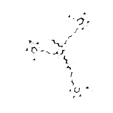 CC(=O)N[C@H]1[C@H](OCCOCCOCC(=O)NCCCC[C@H](NC(=O)COCCOCCO[C@@H]2O[C@H](COC(C)=O)[C@H](OC(C)=O)[C@H](OC(C)=O)[C@H]2NC(C)=O)C(=O)N[C@](C)(CCCC(=O)O)NC(=O)COCCOCCO[C@@H]2O[C@H](COC(C)=O)[C@H](OC(C)=O)[C@H](OC(C)=O)[C@H]2NC(C)=O)O[C@H](COC(C)=O)[C@H](OC(C)=O)[C@@H]1OC(C)=O